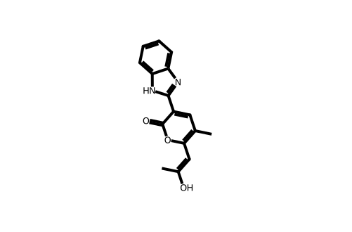 C/C(O)=C\c1oc(=O)c(-c2nc3ccccc3[nH]2)cc1C